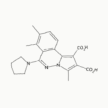 Cc1ccc2c(c(N3CCCC3)nn3c(C)c(C(=O)O)c(C(=O)O)c23)c1C